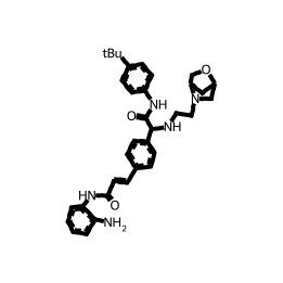 CC(C)(C)c1ccc(NC(=O)C(NCCN2CC3CC2CO3)c2ccc(/C=C/C(=O)Nc3ccccc3N)cc2)cc1